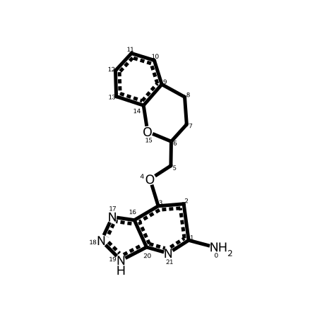 Nc1cc(OCC2CCc3ccccc3O2)c2nn[nH]c2n1